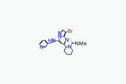 CNC(=S)N1CCCCC1c1cc(NCc2cccnc2)n2ncc(Br)c2n1